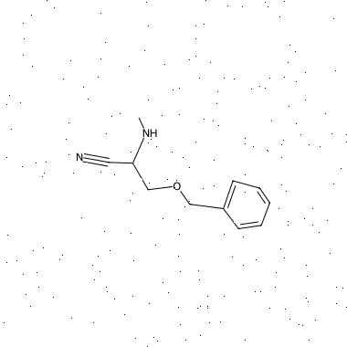 CNC(C#N)COCc1ccccc1